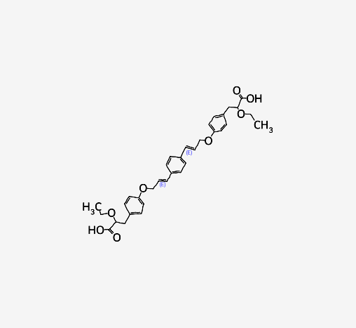 CCOC(Cc1ccc(OC/C=C/c2ccc(/C=C/COc3ccc(CC(OCC)C(=O)O)cc3)cc2)cc1)C(=O)O